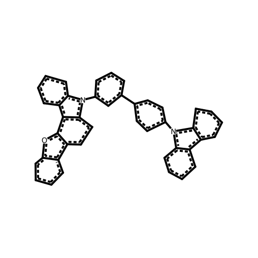 c1cc(-c2ccc(-n3c4ccccc4c4ccccc43)cc2)cc(-n2c3ccccc3c3c4oc5ccccc5c4ccc32)c1